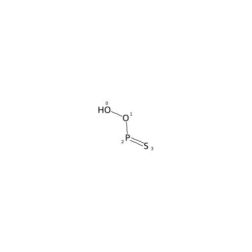 OOP=S